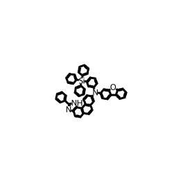 c1ccc(-c2nc3ccc4ccc5cc(N(c6cccc([Si](c7ccccc7)(c7ccccc7)c7ccccc7)c6)c6ccc7c(c6)oc6ccccc67)ccc5c4c3[nH]2)cc1